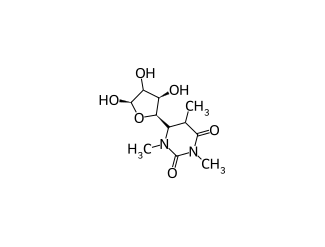 CC1C(=O)N(C)C(=O)N(C)C1[C@H]1O[C@@H](O)C(O)[C@H]1O